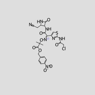 CC(C)(O/N=C(\C(=O)NC1C(=O)NC1CC#N)c1csc(NC(=O)CCl)n1)C(=O)OCc1ccc([N+](=O)[O-])cc1